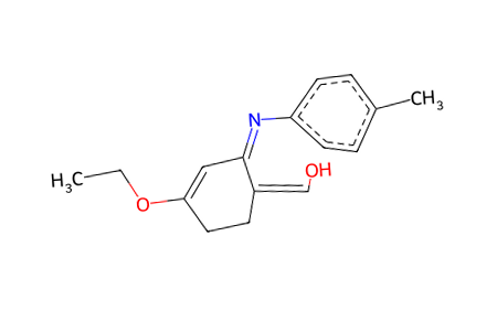 CCOC1=CC(=N/c2ccc(C)cc2)/C(=C\O)CC1